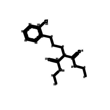 CCOC(=O)C(CCCc1ccccc1Cl)C(=O)OCC